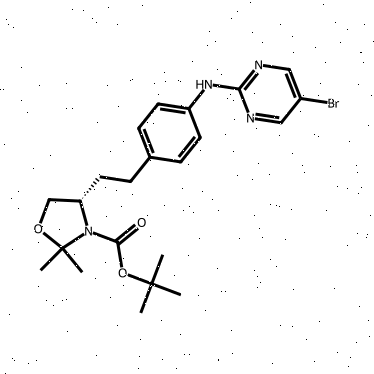 CC(C)(C)OC(=O)N1[C@@H](CCc2ccc(Nc3ncc(Br)cn3)cc2)COC1(C)C